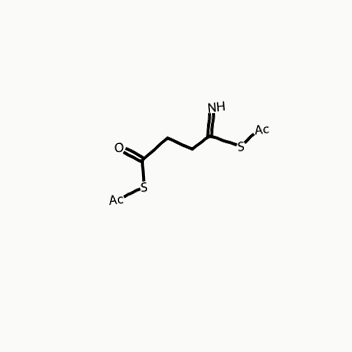 CC(=O)SC(=N)CCC(=O)SC(C)=O